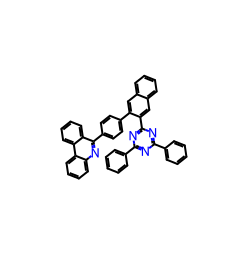 c1ccc(-c2nc(-c3ccccc3)nc(-c3cc4ccccc4cc3-c3ccc(-c4nc5ccccc5c5ccccc45)cc3)n2)cc1